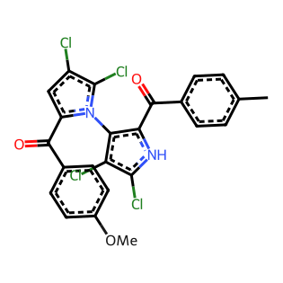 COc1ccc(C(=O)c2cc(Cl)c(Cl)n2-c2c(C(=O)c3ccc(C)cc3)[nH]c(Cl)c2Cl)cc1